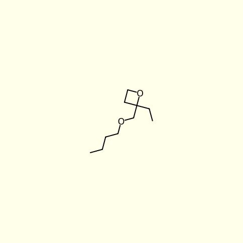 CCCCOCC1(CC)CCO1